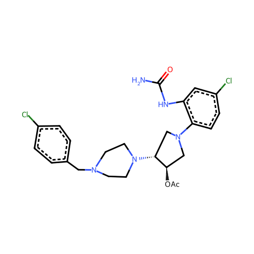 CC(=O)O[C@@H]1CN(c2ccc(Cl)cc2NC(N)=O)C[C@H]1N1CCN(Cc2ccc(Cl)cc2)CC1